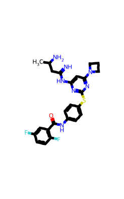 CC(N)CC(=N)Nc1cc(N2CCC2)nc(Sc2ccc(NC(=O)c3cc(F)ccc3F)cc2)n1